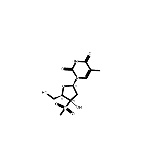 Cc1cn([C@H]2C[C@@](O)(S(C)(=O)=O)[C@@H](CO)O2)c(=O)[nH]c1=O